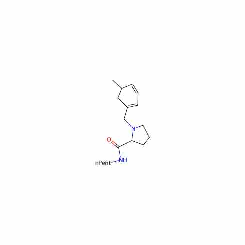 CCCCCNC(=O)C1CCCN1CC1=CC=CC(C)C1